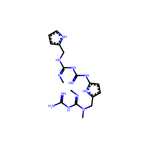 C/N=C(/NCc1ccc[nH]1)NC(=N)Nc1ccc(CN(C)/C(=N/C)NC(=N)N)[nH]1